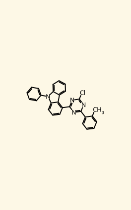 Cc1ccccc1-c1nc(Cl)nc(-c2cccc3c2c2ccccc2n3-c2ccccc2)n1